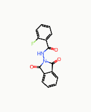 O=C(NN1C(=O)c2ccccc2C1=O)c1ccccc1F